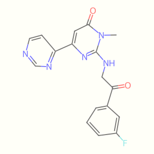 Cn1c(NCC(=O)c2cccc(F)c2)nc(-c2ccncn2)cc1=O